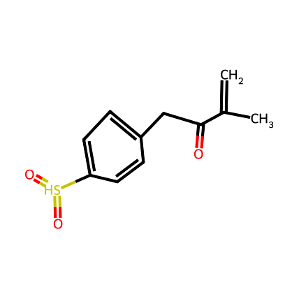 C=C(C)C(=O)Cc1ccc([SH](=O)=O)cc1